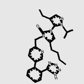 CCCCc1cn(-c2c(CC)cnn2C(C)C)c(=O)n1Cc1ccc(-c2ccccc2-c2nnn[nH]2)cn1